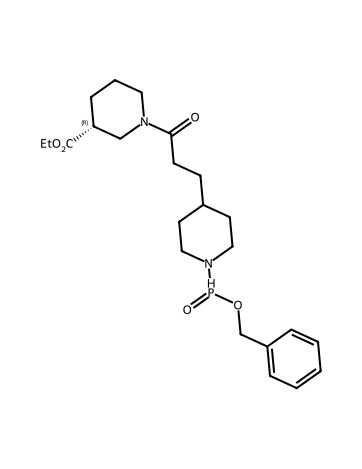 CCOC(=O)[C@@H]1CCCN(C(=O)CCC2CCN([PH](=O)OCc3ccccc3)CC2)C1